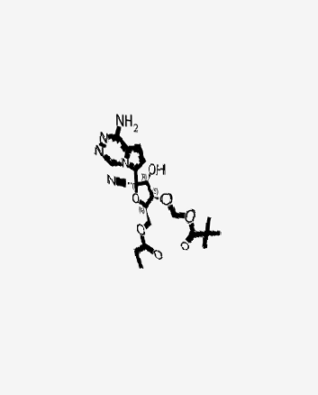 CCC(=O)OC[C@H]1O[C@@](C#N)(c2ccc3c(N)nncn23)[C@H](O)[C@@H]1OCOC(=O)C(C)(C)C